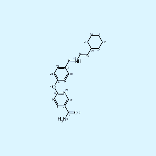 NC(=O)c1ccc(Oc2ccc(CNCCC3CCCCC3)cc2)nc1